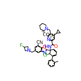 Cc1ccccc1C1=CC=CC(NC(=O)c2cc(C3CC3)c(CN3CCCC[C@H]3C(=O)O)cn2)(c2nc3cc(CN4CC(F)C4)cc(C#N)c3o2)C1Cl